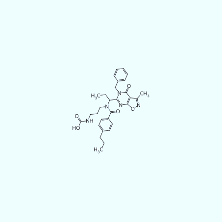 CCCc1ccc(C(=O)N(CCCNC(=O)O)C(CC)c2nc3onc(C)c3c(=O)n2Cc2ccccc2)cc1